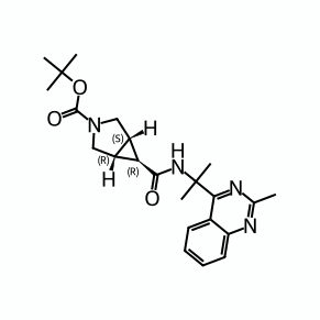 Cc1nc(C(C)(C)NC(=O)[C@H]2[C@@H]3CN(C(=O)OC(C)(C)C)C[C@@H]32)c2ccccc2n1